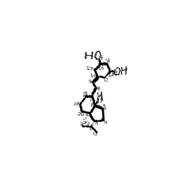 CC(C)[C@H]1CC[C@H]2/C(=C/C=C3CC(O)CC(O)C3)CCC[C@]12C